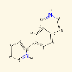 c1ccc(-c2ccc3ccncc3c2)nc1